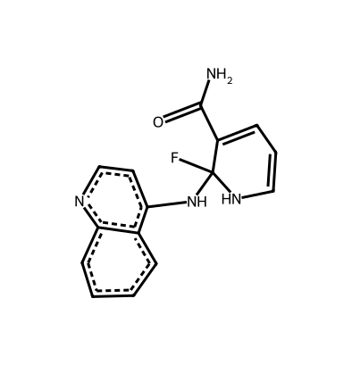 NC(=O)C1=CC=CNC1(F)Nc1ccnc2ccccc12